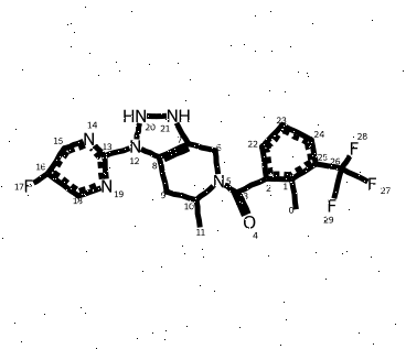 Cc1c(C(=O)N2CC3=C(CC2C)N(c2ncc(F)cn2)NN3)cccc1C(F)(F)F